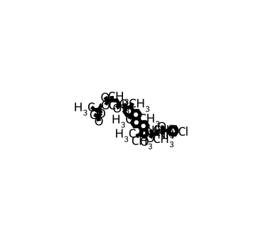 Cc1oc(=O)oc1COC(=O)C(C)(C)CC(=O)OC1CCC2(C)C(CCC3(C)C4CCC5(NC(=O)C(C)(C)NC(=O)c6ccc(Cl)cc6)CC(=O)C(C(C)C)=C5C4CCC32)C1C